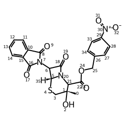 C[C@@]1(O)CS[C@@H]2C(N3C(=O)c4ccccc4C3=O)C(=O)N2C1C(=O)OCc1ccc([N+](=O)[O-])cc1